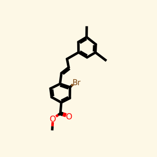 COC(=O)c1ccc(C=CCc2cc(C)cc(C)c2)c(Br)c1